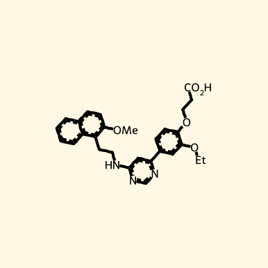 CCOc1cc(-c2cc(NCCc3c(OC)ccc4ccccc34)ncn2)ccc1OCCC(=O)O